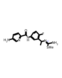 CS/C(N)=N\C(C)c1cc(NC(=O)c2ccc(N)cn2)ccc1F